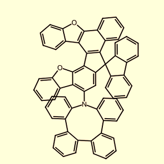 c1ccc2c(c1)-c1ccccc1C21c2cc(-n3c4ccccc4c4ccccc4c4ccccc4c4ccccc43)c3c(oc4ccccc43)c2-c2c1c1ccccc1c1oc3ccccc3c21